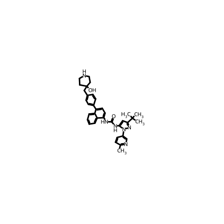 Cc1ccc(-n2nc(C(C)(C)C)cc2NC(=O)Nc2ccc(-c3ccc(CC4(O)CCNCC4)cc3)c3ccccc23)cn1